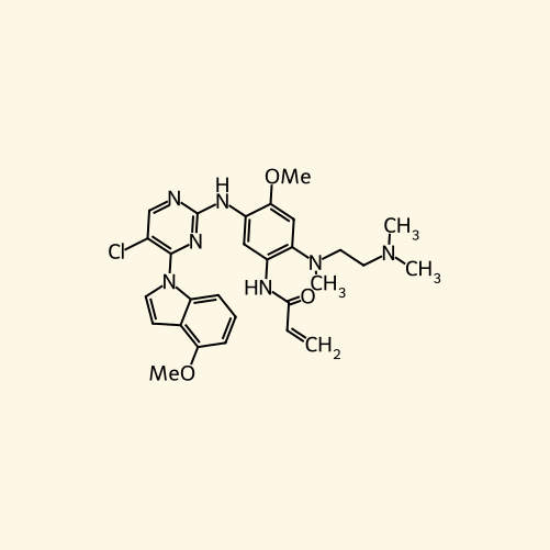 C=CC(=O)Nc1cc(Nc2ncc(Cl)c(-n3ccc4c(OC)cccc43)n2)c(OC)cc1N(C)CCN(C)C